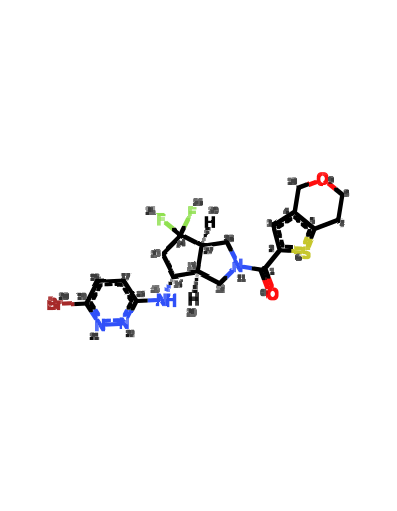 O=C(c1cc2c(s1)CCOC2)N1C[C@H]2[C@H](Nc3ccc(Br)nn3)CC(F)(F)[C@H]2C1